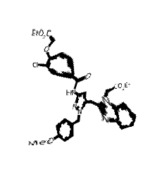 CCOC(=O)COc1ccc(C(=O)Nc2cc(-c3nc4ccccc4n3CC(=O)OCC)n(Cc3ccc(OC)cc3)n2)cc1Cl